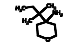 CCC(C)(C)C1(N)CCOCC1